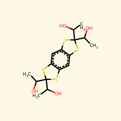 CC(O)C1(C(C)O)Sc2cc3c(cc2S1)SC(C(C)O)(C(C)O)S3